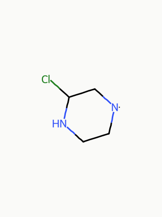 ClC1C[N]CCN1